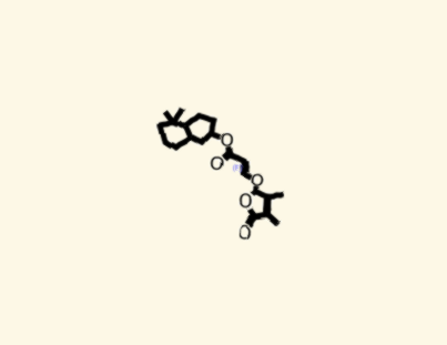 CC1=C(C)C(O/C=C/C(=O)OC2CCC3C(CCCC3(C)C)C2)OC1=O